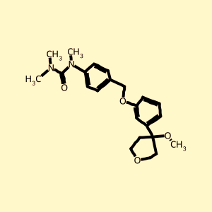 COC1(c2cccc(OCc3ccc(N(C)C(=O)N(C)C)cc3)c2)CCOCC1